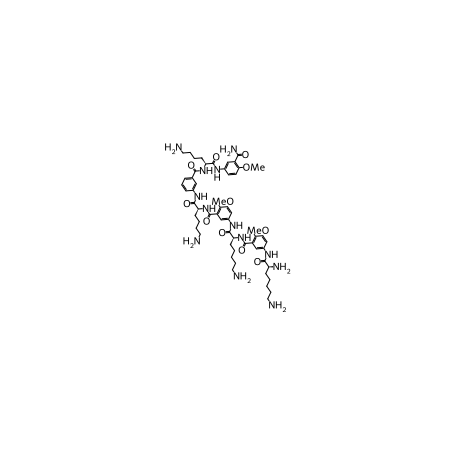 COc1ccc(NC(=O)[C@H](CCCCN)NC(=O)c2cccc(NC(=O)[C@H](CCCCN)NC(=O)c3cc(NC(=O)[C@H](CCCCCN)NC(=O)c4cc(NC(=O)[C@@H](N)CCCCCN)ccc4OC)ccc3OC)c2)cc1C(N)=O